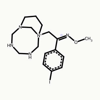 CO/N=C(/C[N+]12CCCN(CNCNC1)C2)c1ccc(I)cc1